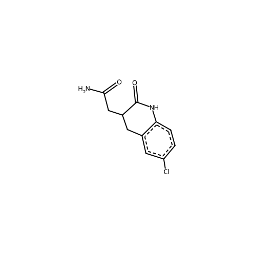 NC(=O)CC1Cc2cc(Cl)ccc2NC1=O